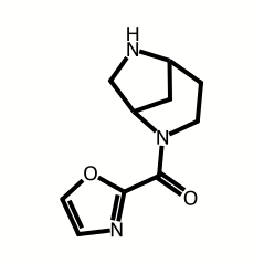 O=C(c1ncco1)N1CCC2CC1CN2